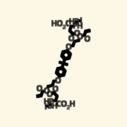 C=CC(=O)OCC(COc1ccc(C(C)(C)c2ccc(OCC(COC(=O)C=C)OC(=O)CC(PBI)C(=O)O)cc2)cc1)OC(=O)CC(PBI)C(=O)O